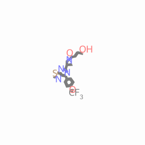 O=C(/C=C/CO)N1CC(c2nc(-c3ccc(OC(F)(F)F)cc3)c3ncsc3n2)C1